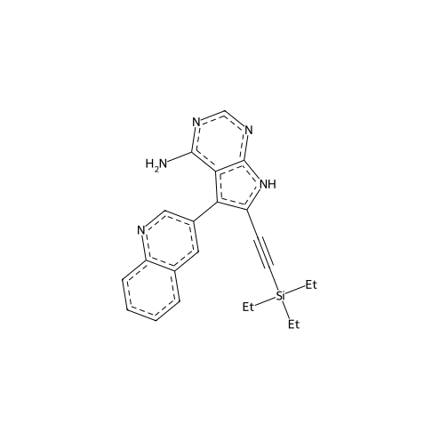 CC[Si](C#Cc1[nH]c2ncnc(N)c2c1-c1cnc2ccccc2c1)(CC)CC